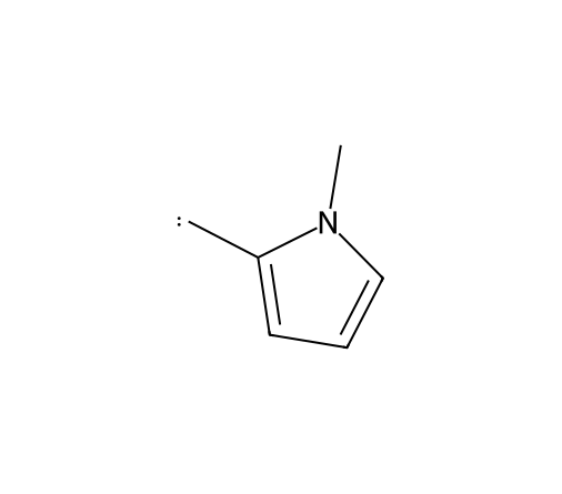 [CH]c1cccn1C